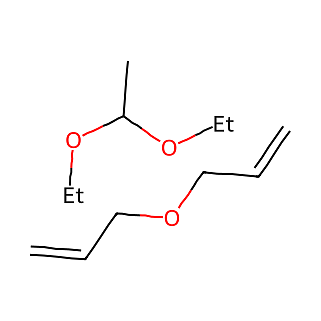 C=CCOCC=C.CCOC(C)OCC